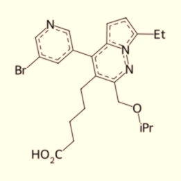 CCc1ccc2c(-c3cncc(Br)c3)c(CCCCC(=O)O)c(COC(C)C)nn12